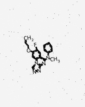 C=CCOc1cc2c(cc1F)c(N(C)c1ccccc1)nc1nncn12